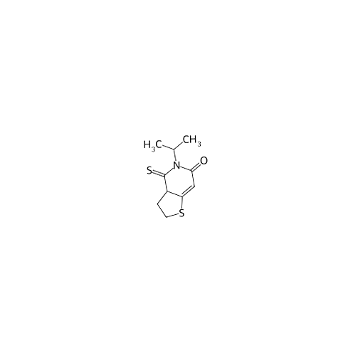 CC(C)N1C(=O)C=C2SCCC2C1=S